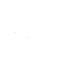 COc1cccc(C(O)c2csc(NS(=O)(=O)c3cccc(Cl)c3C)n2)c1